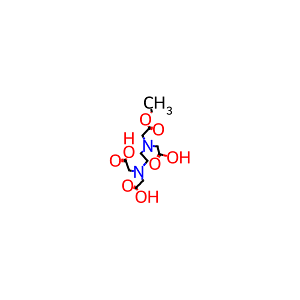 CCOC(=O)CN(CCN(CC(=O)O)CC(=O)O)CC(=O)O